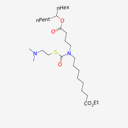 CCCCCCC(CCCCC)OC(=O)CCCN(CCCCCCCC(=O)OCC)C(=O)SCCN(C)C